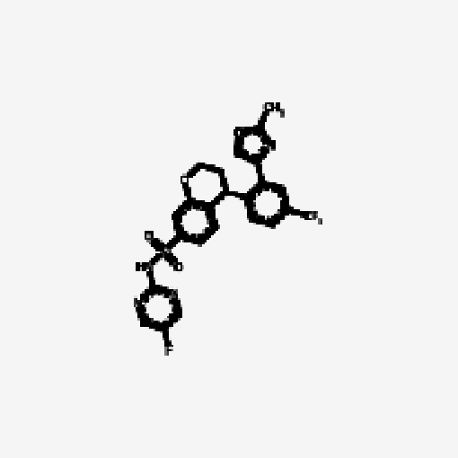 Cc1nc(-c2cc(C(F)(F)F)ccc2[C@@H]2CCOc3cc(S(=O)(=O)Nc4ncc(F)cn4)ccc32)co1